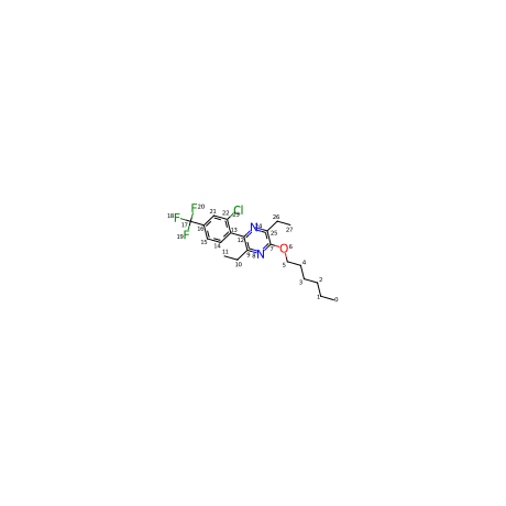 CCCCCCOc1nc(CC)c(-c2ccc(C(F)(F)F)cc2Cl)nc1CC